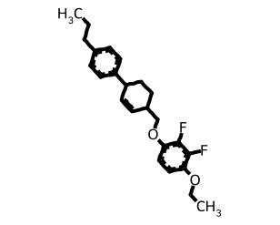 CCCc1ccc(C2C=CC(COc3ccc(OCC)c(F)c3F)CC2)cc1